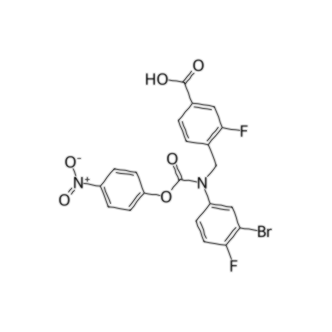 O=C(O)c1ccc(CN(C(=O)Oc2ccc([N+](=O)[O-])cc2)c2ccc(F)c(Br)c2)c(F)c1